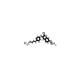 CCCCCc1ccc(Sc2cc3ccc(OC)cc3oc2=O)cc1